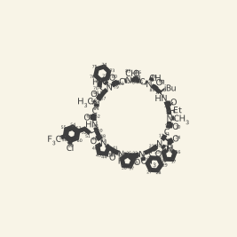 CC[C@H](C)[C@@H]1NC(=O)[C@H](CC)N(C)C(=O)C[C@@H](C(=O)N2CCCC2)N(C)C(=O)[C@H](C2CCCCC2)N(C)C(=O)C2(CCCC2)NC(=O)[C@@H]2CCCN2C(=O)[C@H](CCc2ccc(C(F)(F)F)c(Cl)c2)NC(=O)CN(C)C(=O)[C@H](CC2CCCCC2)N(C)C(=O)CN(C)C(=O)CN(C)C1=O